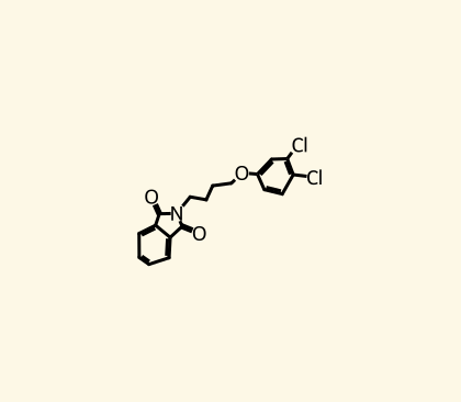 O=C1c2ccccc2C(=O)N1CCCCOc1ccc(Cl)c(Cl)c1